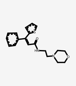 O=C(C=C(c1ccccc1)c1cccs1)NCCN1CCOCC1